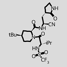 CC(C)[C@H](NS(=O)(=O)C(F)(F)F)C(=O)N1CC[C@@H](C(C)(C)C)C[C@H]1C(=O)N[C@H](C#N)C[C@@H]1CCNC1=O